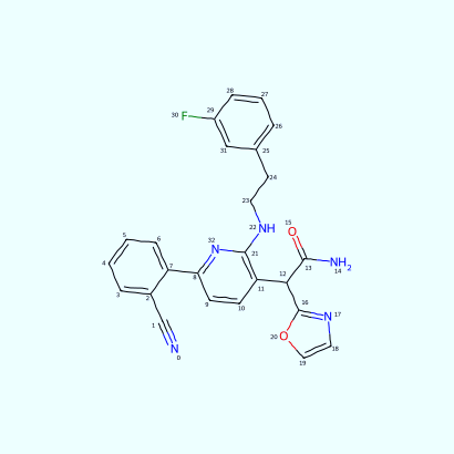 N#Cc1ccccc1-c1ccc(C(C(N)=O)c2ncco2)c(NCCc2cccc(F)c2)n1